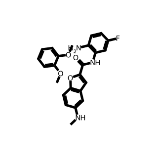 CNc1ccc2oc(C(=O)Nc3cc(F)ccc3N)cc2c1.COc1ccccc1OC